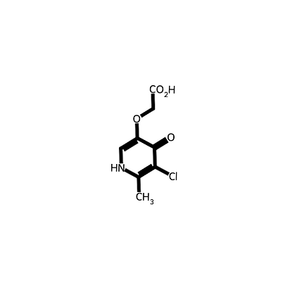 Cc1[nH]cc(OCC(=O)O)c(=O)c1Cl